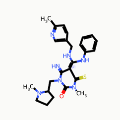 Cc1ccc(CN/C(Nc2ccccc2)=C2\C(=N)N(CC3CCCN3C)C(=O)N(C)C2=S)cn1